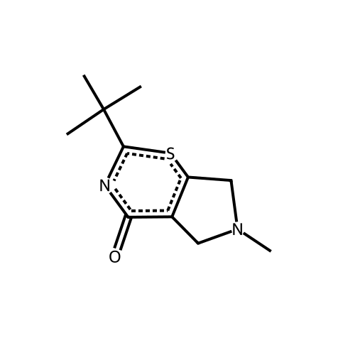 CN1Cc2sc(C(C)(C)C)nc(=O)c2C1